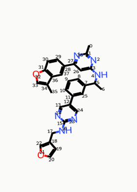 Cc1nc(NC(C)c2cccc(-c3cnc(NCc4ccoc4)nc3)c2)cc(-c2ccc3occ(C)c3c2)n1